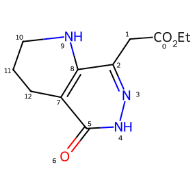 CCOC(=O)Cc1n[nH]c(=O)c2c1NCCC2